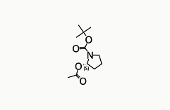 CC(=O)O[C@H]1CCCN1C(=O)OC(C)(C)C